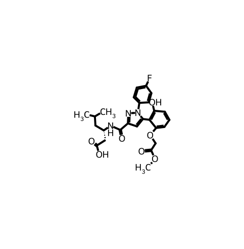 COC(=O)COc1cccc(O)c1-c1cc(C(=O)N[C@H](CC(=O)O)CC(C)C)nn1C1=C=C=C(F)C=C1